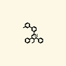 CCc1c(-c2ccccc2)cc(-c2cccc(-c3cccc(C)c3)c2)nc1-c1ccccc1